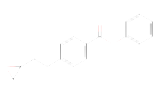 O=C(Oc1ccccc1)c1ccc(CCC2CO2)cc1